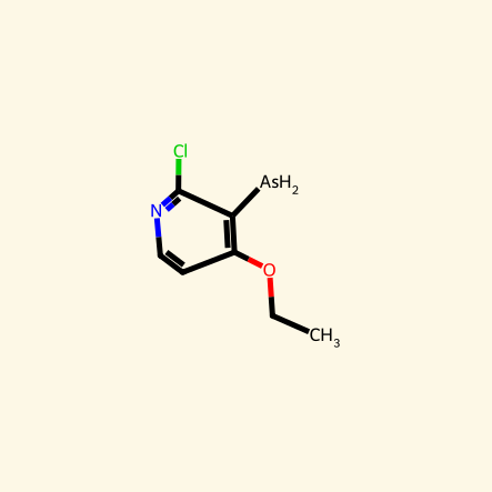 CCOc1ccnc(Cl)c1[AsH2]